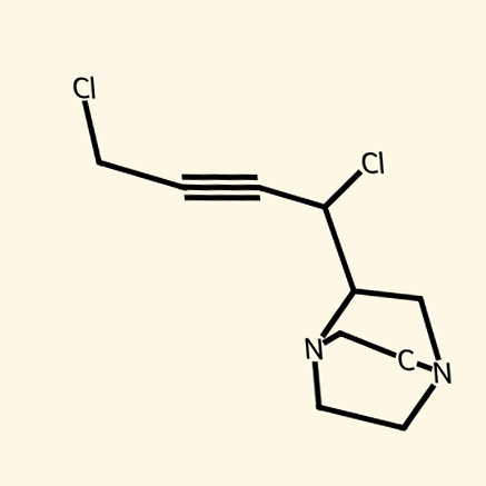 ClCC#CC(Cl)C1CN2CCN1CC2